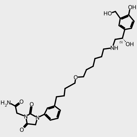 NC(=O)CN1C(=O)CN(c2cccc(CCCCOCCCCCCNC[C@@H](O)c3ccc(O)c(CO)c3)c2)C1=O